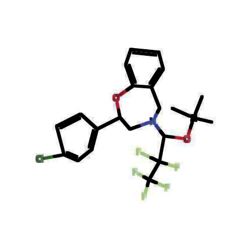 C[Si](C)(C)OC(N1Cc2ccccc2OC(c2ccc(Cl)cc2)C1)C(F)(F)C(F)(F)F